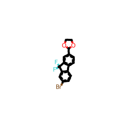 FC1(F)c2cc(Br)ccc2-c2ccc(C3OCCO3)cc21